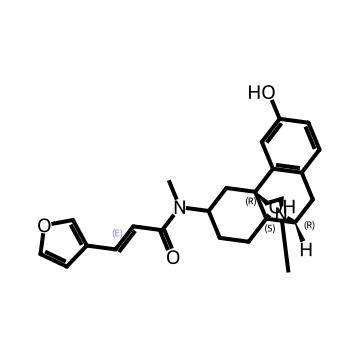 CN(C(=O)/C=C/c1ccoc1)C1CC[C@@]2(O)[C@H]3Cc4ccc(O)cc4[C@@]2(CCN3C)C1